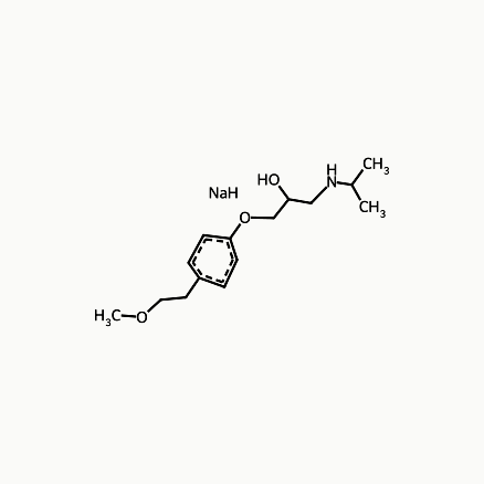 COCCc1ccc(OCC(O)CNC(C)C)cc1.[NaH]